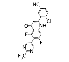 N#Cc1ccc(Cl)c(-c2cc(=O)c3c(F)c(-c4cnc(C(F)(F)F)nc4)c(F)cc3[nH]2)c1